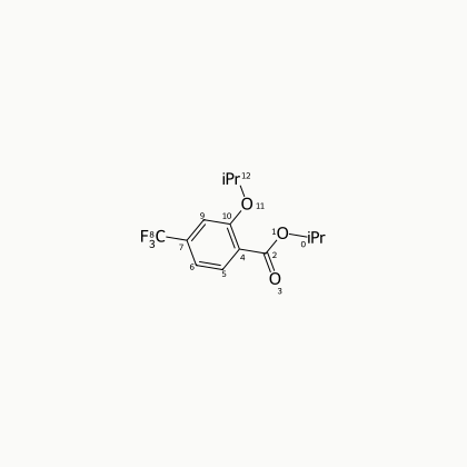 CC(C)OC(=O)c1ccc(C(F)(F)F)cc1OC(C)C